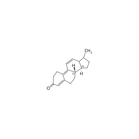 CC1CC[C@@H]2C1C=CC1=C3CCC(=O)C=C3CC[C@H]12